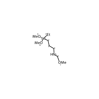 CC[Si](CCCNCOC)(OC)OC